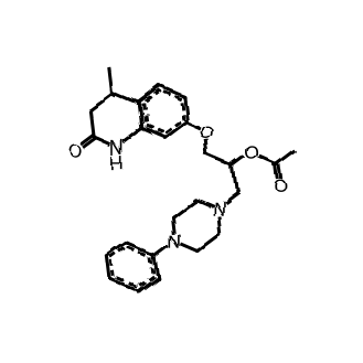 CC(=O)OC(COc1ccc2c(c1)NC(=O)CC2C)CN1CCN(c2ccccc2)CC1